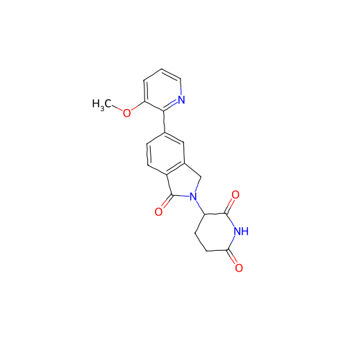 COc1cccnc1-c1ccc2c(c1)CN(C1CCC(=O)NC1=O)C2=O